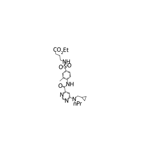 CCCN(CC1CC1)c1cc(C(=O)Nc2ccc(S(=O)(=O)NCCCC(=O)OCC)cc2C)ncn1